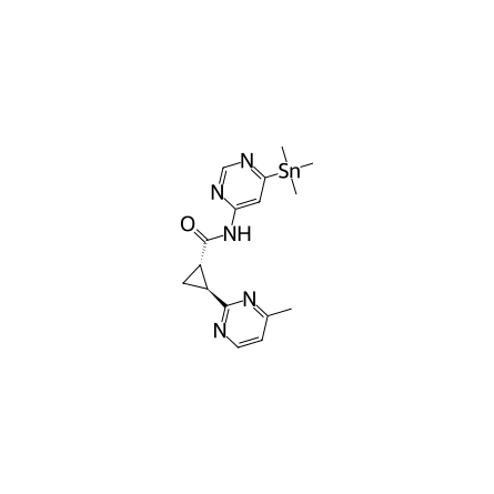 Cc1ccnc([C@H]2C[C@@H]2C(=O)Nc2c[c]([Sn]([CH3])([CH3])[CH3])ncn2)n1